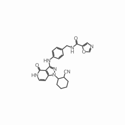 N#CC1CCCCC1n1nc(Nc2ccc(CNC(=O)c3cnco3)cc2)c2c(=O)[nH]ccc21